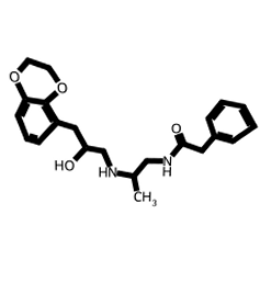 CC(CNC(=O)Cc1ccccc1)NCC(O)Cc1cccc2c1OCCO2